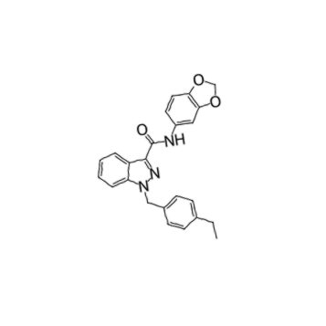 CCc1ccc(Cn2nc(C(=O)Nc3ccc4c(c3)OCO4)c3ccccc32)cc1